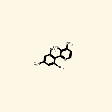 O=[N+]([O-])c1cc([N+](=O)[O-])c(-c2nccc([N+](=O)[O-])c2[N+](=O)[O-])c([N+](=O)[O-])c1